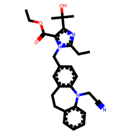 CCOC(=O)c1c(C(C)(C)O)nc(CC)n1Cc1ccc2c(c1)CCc1ccccc1N2CC#N